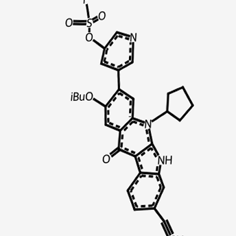 C#Cc1ccc2c(c1)[nH]c1c2c(=O)c2cc(OCC(C)C)c(-c3cncc(OS(=O)(=O)F)c3)cc2n1C1CCCC1